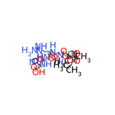 CO[C@@H]1[C@H](OC(=O)NCC(=O)N[C@@H](CCCNC(=N)N)C(=O)NCC(=O)N[C@@H](CC(=O)O)c2cccnc2)CC[C@]2(CO2)[C@H]1[C@@]1(C)O[C@@H]1CC=C(C)C